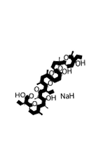 CC[C@@H](C(=O)[C@@H](C)[C@@H](O)[C@H](C)[C@@H]1O[C@@H]([C@@H](CC)C(=O)O)CC[C@@H]1C)[C@H]1O[C@]2(C=C[C@@H](O)[C@]3(CC[C@@](C)([C@H]4CC[C@](O)(CC)[C@H](C)O4)O3)O2)[C@H](C)C[C@@H]1C.[NaH]